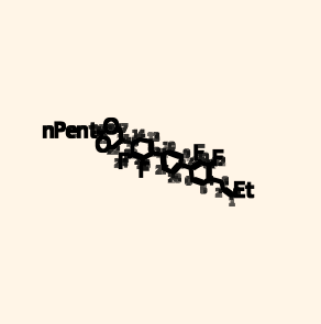 CC/C=C\Cc1ccc(-c2ccc(C3=CC[C@H](C4COC(CCCCC)OC4)C(F)=C3F)cc2)c(F)c1F